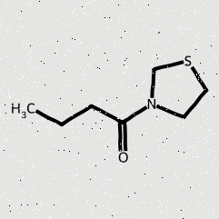 CCCC(=O)N1CCSC1